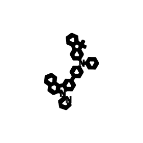 CC1(C)c2ccccc2-c2ccc(N(c3ccccc3)c3ccc(-c4ccc5c(c4)c4c6ccccc6ccc4n5-c4ccccn4)cc3)cc21